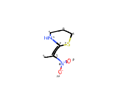 CC(=C1NCCCS1)[N+](=O)[O-]